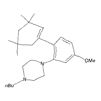 CCCCN1CCN(c2cc(OC)ccc2C2=CC(C)(C)CC(C)(C)C2)CC1